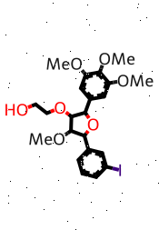 COc1cc(C2OC(c3cccc(I)c3)C(OC)C2OCCO)cc(OC)c1OC